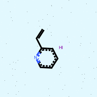 C=Cc1ccccn1.I